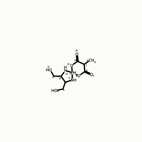 CC1C(=O)O[PH]2(NC(CO)C(CO)N2)OC1=O